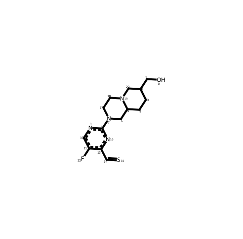 OCC1CCC2CN(c3ncc(F)c(C=S)n3)CCN2C1